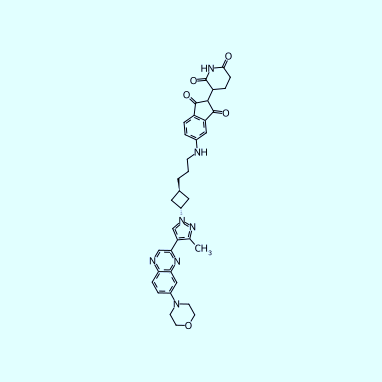 Cc1nn([C@H]2C[C@H](CCCNc3ccc4c(c3)C(=O)C(C3CCC(=O)NC3=O)C4=O)C2)cc1-c1cnc2ccc(N3CCOCC3)cc2n1